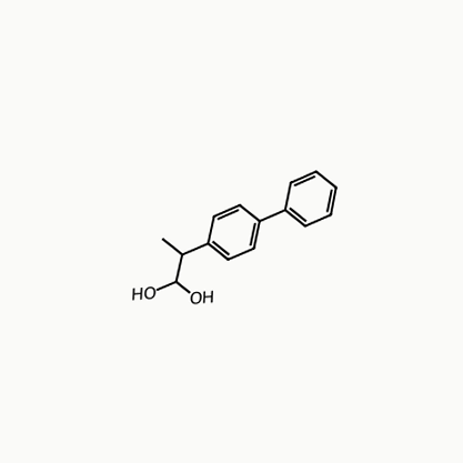 CC(c1ccc(-c2ccccc2)cc1)C(O)O